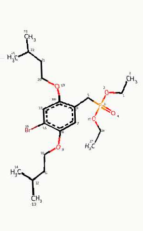 CCOP(=O)(Cc1cc(OCCC(C)C)c(Br)cc1OCCC(C)C)OCC